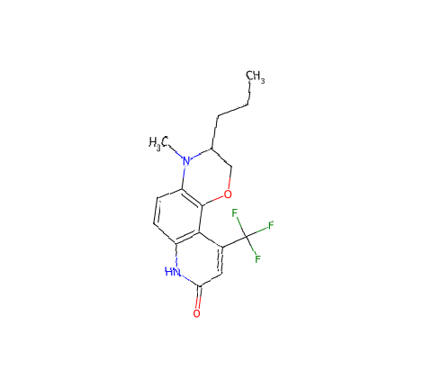 CCCC1COc2c(ccc3[nH]c(=O)cc(C(F)(F)F)c23)N1C